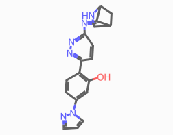 Oc1cc(-n2cccn2)ccc1-c1ccc(/N=C2\C3CNC2C3)nn1